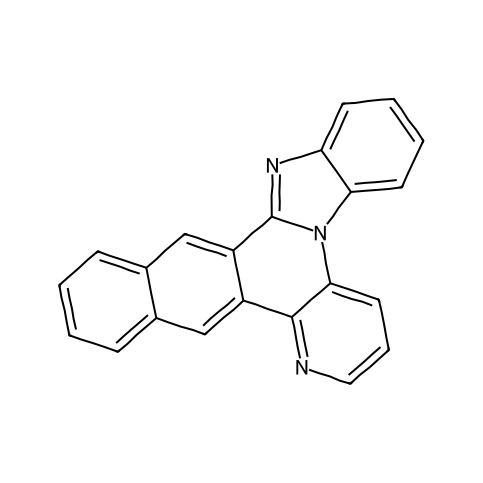 c1ccc2cc3c(cc2c1)c1ncccc1n1c2ccccc2nc31